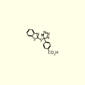 O=C(O)c1ccc(C2(Sc3nc4ccccc4s3)N=NN=N2)cc1